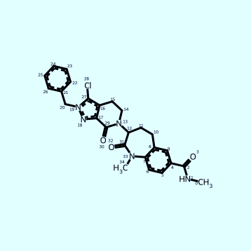 CNC(=O)c1ccc2c(c1)CCC(N1CCc3c(nn(Cc4ccccc4)c3Cl)C1=O)C(=O)N2C